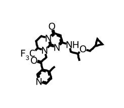 Cc1ccncc1C(=O)CN1c2nc(NCC(C)OCC3CC3)cc(=O)n2CCC1C(F)(F)F